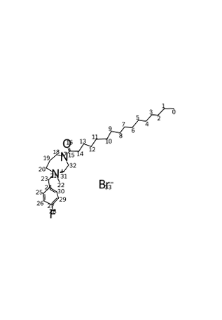 CCCCCCCCCCCCCCCC(=O)N1CCC[N+](C)(Cc2ccc(F)cc2)CC1.[Br-]